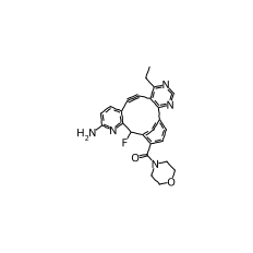 CCc1ncnc2c1C#Cc1ccc(N)nc1C(F)c1cc-2ccc1C(=O)N1CCOCC1